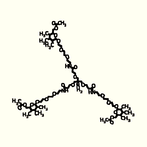 CC(=O)OCC1OC(OCCOCCOCCNC(=O)CCOCC(N)(COCCC(=O)NCCOCCOCCOC2OC(COC(C)=O)C(C)C(C)C2C)COCCC(=O)NCCOCCOCCOC2OC(COC(C)=O)C(C)C(C)C2C)C(C)C(C)C1C